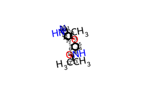 Cc1c(OC2CCC(NC(=O)C(C)C)CC2)ccc2[nH]ncc12